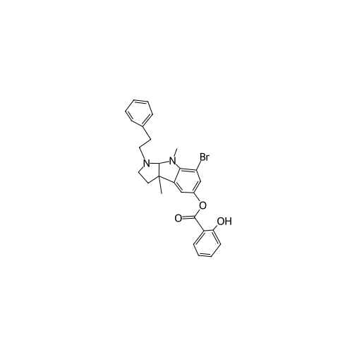 CN1c2c(Br)cc(OC(=O)c3ccccc3O)cc2C2(C)CCN(CCc3ccccc3)C12